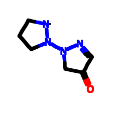 O=C1C=NN(N2CCC[N]2)C1